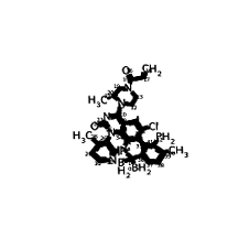 BC1(B)Nc2c(c(Cl)cc3c(N4CCN(C(=O)C=C)C[C@@H]4C)nc(=O)n(-c4c(C)ccnc4C(C)C)c23)-c2c1ccc(C)c2P